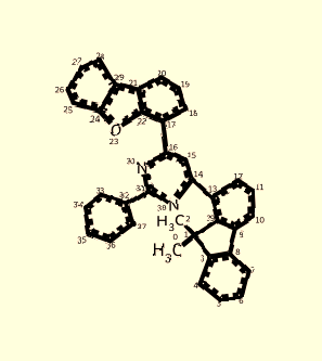 CC1(C)c2ccccc2-c2cccc(-c3cc(-c4cccc5c4oc4ccccc45)nc(-c4ccccc4)n3)c21